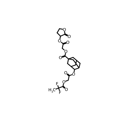 CC(F)(F)C(=O)OCC(=O)OC1C2CC3CC1CC(C(=O)OCC(=O)OC1CCOC1=O)(C3)C2